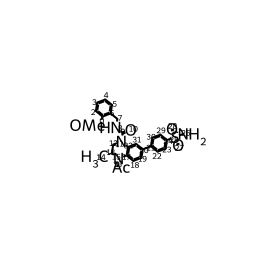 COc1ccccc1CNC(=O)N1C[C@H](C)N(C(C)=O)c2ccc(-c3ccc(S(N)(=O)=O)cc3)cc21